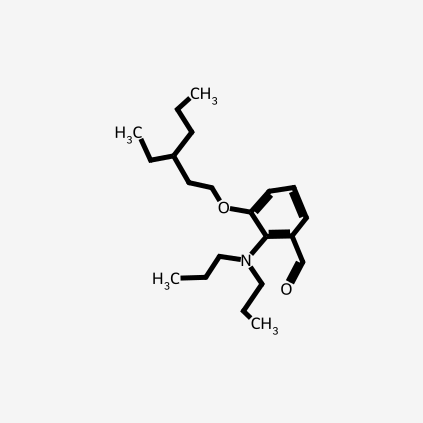 CCCC(CC)CCOc1cccc(C=O)c1N(CCC)CCC